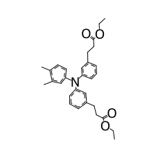 CCOC(=O)CCc1cccc(N(c2cccc(CCC(=O)OCC)c2)c2ccc(C)c(C)c2)c1